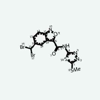 CSc1nnc(NC(=O)c2onc3ccc(C(Br)Br)cc23)s1